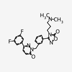 CN(C)CCCn1c(-c2cccc(Cn3nc(-c4cc(F)cc(F)c4)ccc3=O)c2)noc1=O